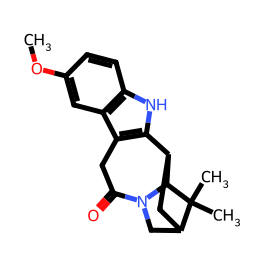 COc1ccc2[nH]c3c(c2c1)CC(=O)N1CC2CC3C1C2(C)C